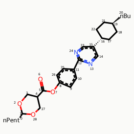 CCCCCC1OCC(C(=O)Oc2ccc(-c3ncc([C@H]4CC[C@H](CCCC)CC4)cn3)cc2)CO1